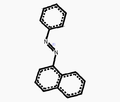 [c]1cc[c]c(/N=N/c2cccc3ccccc23)c1